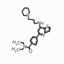 CCN(CC)C(=O)c1ccc(-c2cc(NCCCN3CCCCC3)c3sccc3n2)cc1